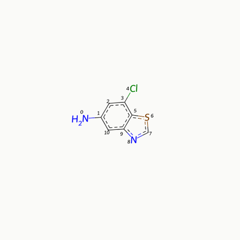 Nc1cc(Cl)c2scnc2c1